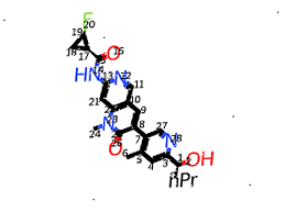 CCC[C@H](O)c1cc(C)c(-c2cc3cnc(NC(=O)[C@H]4C[C@H]4F)cc3n(C)c2=O)cn1